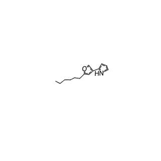 CCCCCCc1cc(-c2ccc[nH]2)co1